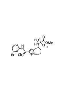 COC(=O)C(C)(C)NC1CCCn2nc(C(=O)Nc3cccc(Br)c3Cl)cc21